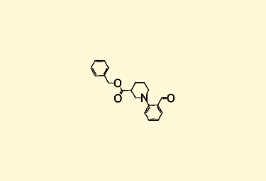 O=Cc1ccccc1N1CCCC(C(=O)OCc2ccccc2)C1